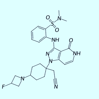 CN(C)S(=O)(=O)c1ccccc1Nc1nn(C2(CC#N)CCC(N3CC(F)C3)CC2)c2cc[nH]c(=O)c12